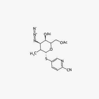 CC(=O)OCC1O[C@H](Sc2ccc(C#N)nc2)C(C)[C@@H](N=[N+]=[N-])[C@H]1OC(C)=O